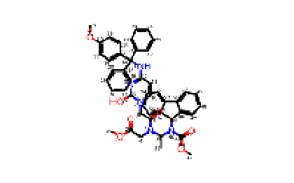 COC(=O)CN(C(=O)CN1C=CC(NC(c2ccccc2)(c2ccccc2)c2ccc(OC)cc2)=NC1O)C(C)N(C(=O)OC)C1c2ccccc2-c2ccccc21